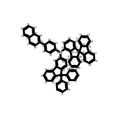 c1ccc(C2(c3ccccc3)c3ccccc3-c3cc(N(c4ccc(-c5ccc6ccccc6c5)cc4)c4cccc5c4-c4ccccc4C54c5ccccc5-c5ccccc54)ccc32)cc1